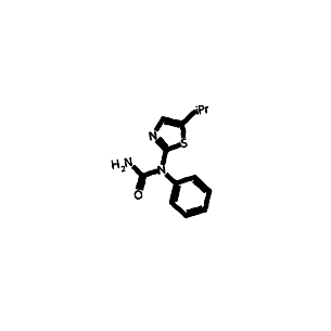 CC(C)c1cnc(N(C(N)=O)c2ccccc2)s1